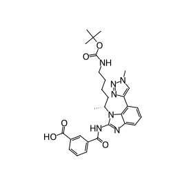 C[C@H](CCCCNC(=O)OC(C)(C)C)n1c(NC(=O)c2cccc(C(=O)O)c2)nc2cccc(-c3cn(C)nn3)c21